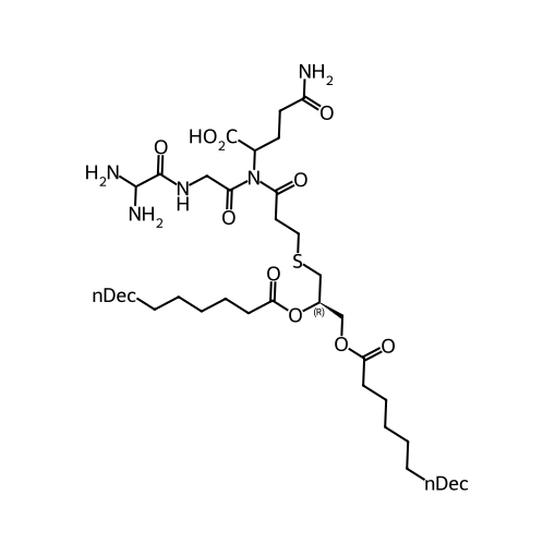 CCCCCCCCCCCCCCCC(=O)OC[C@H](CSCCC(=O)N(C(=O)CNC(=O)C(N)N)C(CCC(N)=O)C(=O)O)OC(=O)CCCCCCCCCCCCCCC